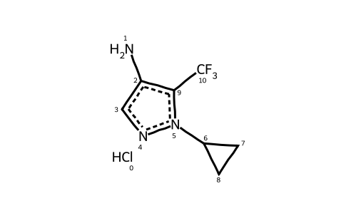 Cl.Nc1cnn(C2CC2)c1C(F)(F)F